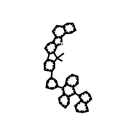 CC1(C)c2cc(-c3cccc(-c4c5ccccc5c(-c5cccc6ccccc56)c5ccccc45)c3)ccc2-c2ccc3c(sc4c5ccccc5ccc34)c21